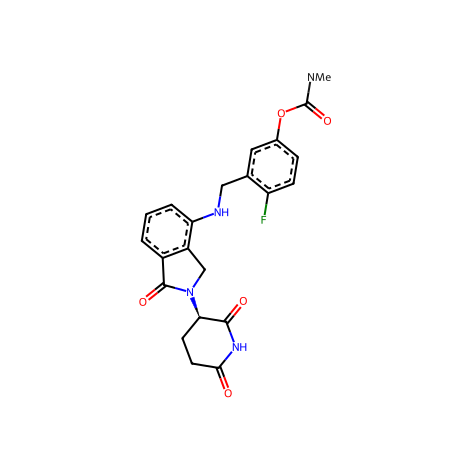 CNC(=O)Oc1ccc(F)c(CNc2cccc3c2CN([C@@H]2CCC(=O)NC2=O)C3=O)c1